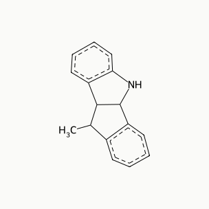 CC1c2ccccc2C2Nc3ccccc3C12